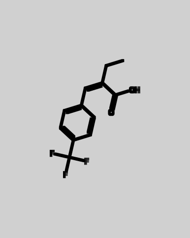 CCC(=Cc1ccc(C(F)(F)F)cc1)C(=O)O